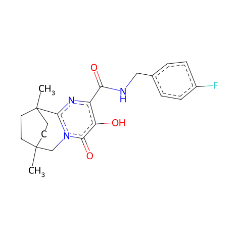 CC12CCC(C)(CC1)c1nc(C(=O)NCc3ccc(F)cc3)c(O)c(=O)n1C2